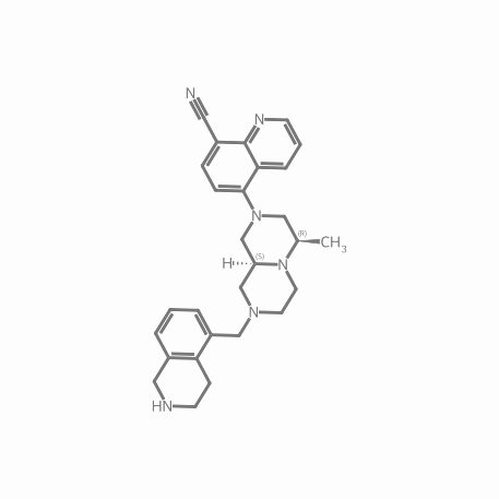 C[C@@H]1CN(c2ccc(C#N)c3ncccc23)C[C@@H]2CN(Cc3cccc4c3CCNC4)CCN21